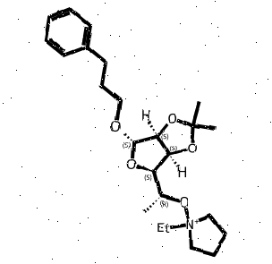 CC[N+]1(O[C@H](C)[C@H]2O[C@H](OCCCc3ccccc3)[C@H]3OC(C)(C)O[C@H]32)CCCC1